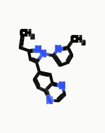 C=Cc1cc(-c2ccc3nccnc3c2)n(-c2cccc(C)n2)n1